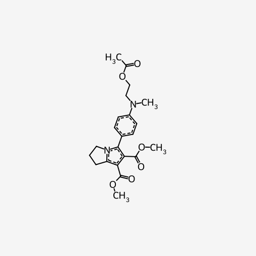 COC(=O)c1c(C(=O)OC)c(-c2ccc(N(C)CCOC(C)=O)cc2)n2c1CCC2